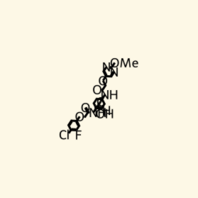 COc1ncc(OCC(=O)NC23CCC(NC(=O)COc4ccc(Cl)c(F)c4)(CC2)[C@@H](O)C3)cn1